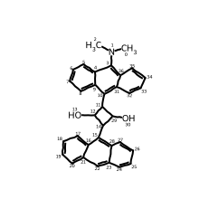 CN(C)c1c2ccccc2c(C2C(O)C(c3c4ccccc4cc4ccccc34)C2O)c2ccccc12